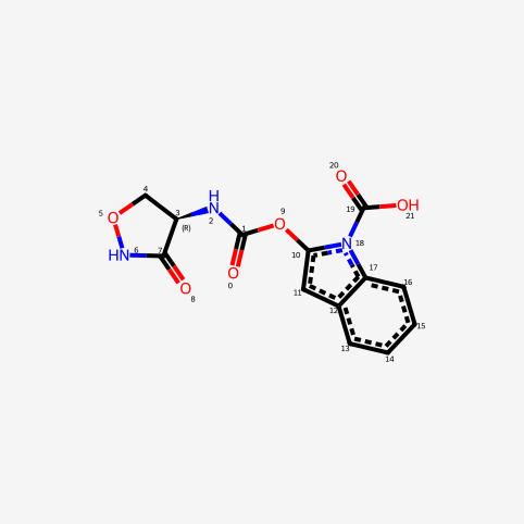 O=C(N[C@@H]1CONC1=O)Oc1cc2ccccc2n1C(=O)O